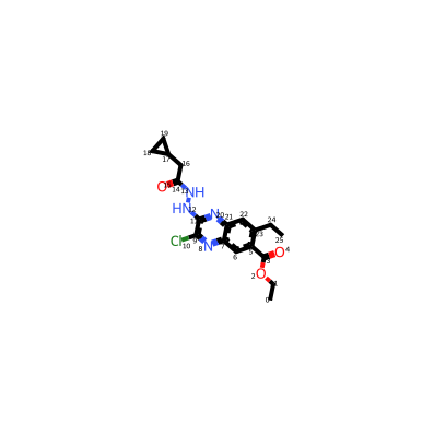 CCOC(=O)c1cc2nc(Cl)c(NNC(=O)CC3CC3)nc2cc1CC